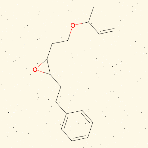 C=CC(C)OCCC1OC1CCc1ccccc1